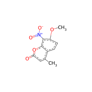 COc1ccc2c(C)cc(=O)oc2c1[N+](=O)[O-]